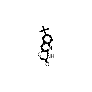 CC(C)(C)c1ccc2nc3c(cc2c1)OCC(=O)N3